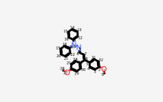 COc1ccc(C(=CC=NN(c2ccccc2)c2ccccc2)c2ccc(OC)cc2)cc1